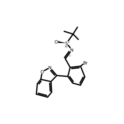 CC(C)(C)[S@+]([O-])/N=C/c1c(Br)cccc1-c1noc2ccccc12